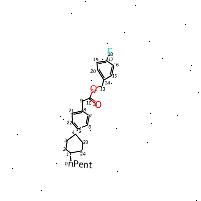 CCCCC[C@H]1CC[C@H](c2ccc(CC(=O)OCc3ccc(F)cc3)cc2)CC1